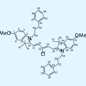 COc1ccc2c(c1)C(C)(C)C(/C=C/C(Cl)=C/C=C1/N(CCCc3ccccc3)c3ccc(OC)cc3C1(C)C)=[N+]2CCCc1ccccc1